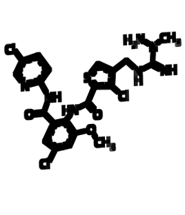 COc1cc(Cl)cc(C(=O)Nc2ccc(Cl)cn2)c1NC(=O)c1scc(CNC(=N)N(C)N)c1Cl